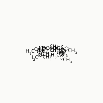 CC1CCC2C(C)(C)C2(Oc2ccc(Oc3ccc(C(C)(C)c4ccc(Oc5ccc(OC67CC(C)CCC6C7(C)C)c(OC67CC(C)CCC6C7(C)C)c5)cc4)cc3)cc2OC23CC(C)CCC2C3(C)C)C1